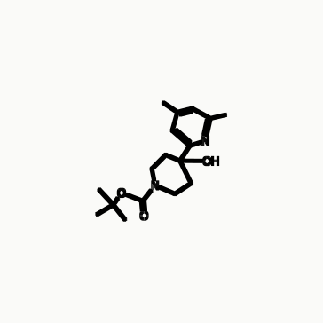 Cc1cc(C)nc(C2(O)CCN(C(=O)OC(C)(C)C)CC2)c1